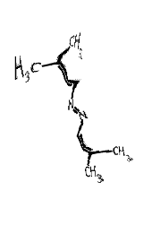 CC(C)=CN=NC=C(C)C